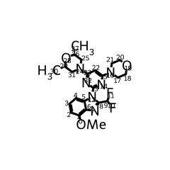 COc1cccc2c1nc(C(F)F)n2-c1nc(N2CCOCC2)cc(N2C[C@@H](C)O[C@H](C)C2)n1